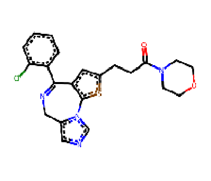 O=C(CCc1cc2c(s1)-n1cncc1CN=C2c1ccccc1Cl)N1CCOCC1